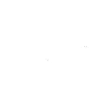 COc1ccc(COc2ccccc2C(C)N)cc1